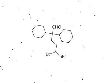 CCCC(CC)CCC(C=O)(C1CCCCC1)C1CCCCC1